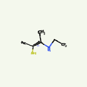 CC(=O)/C(S)=C(\C)NCC(F)(F)F